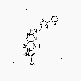 Brc1cnc(NCc2csc(C3=CCCS3)n2)nc1Nc1cc(C2CC2)[nH]n1